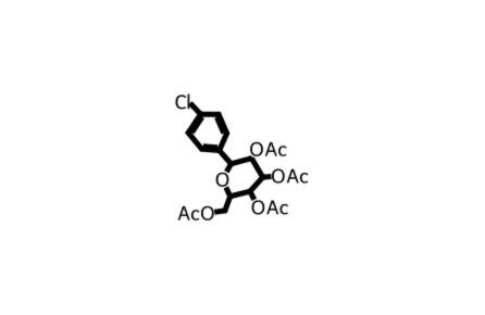 CC(=O)OCC1OC(c2ccc(Cl)cc2)C(OC(C)=O)C(OC(C)=O)C1OC(C)=O